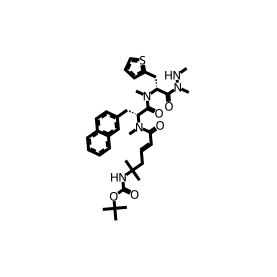 CNN(C)C(=O)[C@@H](Cc1cccs1)N(C)C(=O)[C@@H](Cc1ccc2ccccc2c1)N(C)C(=O)/C=C/CC(C)(C)NC(=O)OC(C)(C)C